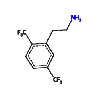 NCCc1cc(C(F)(F)F)ccc1C(F)(F)F